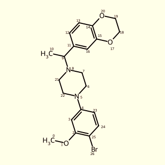 COc1cc(N2CCN(C(C)c3ccc4c(c3)OCCO4)CC2)ccc1Br